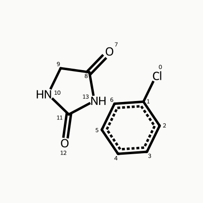 Clc1ccccc1.O=C1CNC(=O)N1